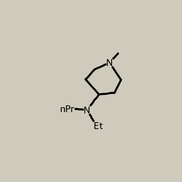 CCCN(CC)C1CCN(C)CC1